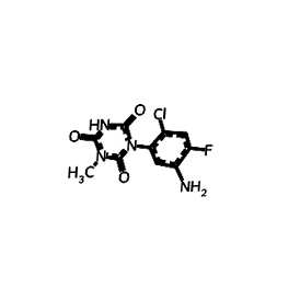 Cn1c(=O)[nH]c(=O)n(-c2cc(N)c(F)cc2Cl)c1=O